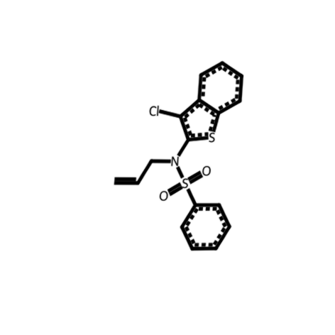 C=CCN(c1sc2ccccc2c1Cl)S(=O)(=O)c1ccccc1